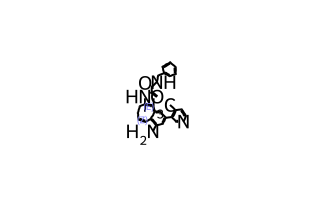 Cc1ccncc1-c1cc(N)c2c(c1)/C=C(/NC(=O)C(=O)NCc1ccccc1)CC/C=C\2